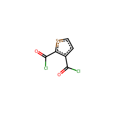 O=C(Cl)c1ccsc1C(=O)Cl